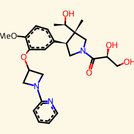 COc1ccc([C@@H]2CN(C(=O)[C@@H](O)CO)C[C@@]2(C)[C@@H](C)O)cc1OC1CN(c2ccccn2)C1